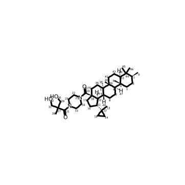 C[C@H]1CC[C@]2(C)[C@H]3CC[C@@H]4[C@H]5[C@H](C6(C)CC6)CC[C@]5(C(=O)N5CCN(C(=O)C(C)(CO)CO)CC5)CC[C@@]4(C)[C@]3(C)CC[C@H]2C1(C)C